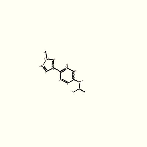 CC(C)Oc1ccc(-c2cnn(C)c2)nc1